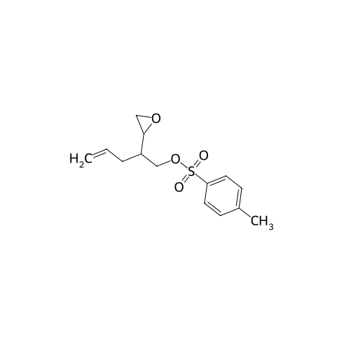 C=CCC(COS(=O)(=O)c1ccc(C)cc1)C1CO1